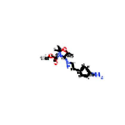 C[C@@H]1OC(C)(C)N(C(=O)OC(C)(C)C)C1NCCc1ccc(N)cc1